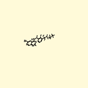 Cc1nc(NC(C)c2cccc(C(F)(F)C(C)O[Si](C)(C)C(C)(C)C)c2F)c2cc(Br)ncc2n1